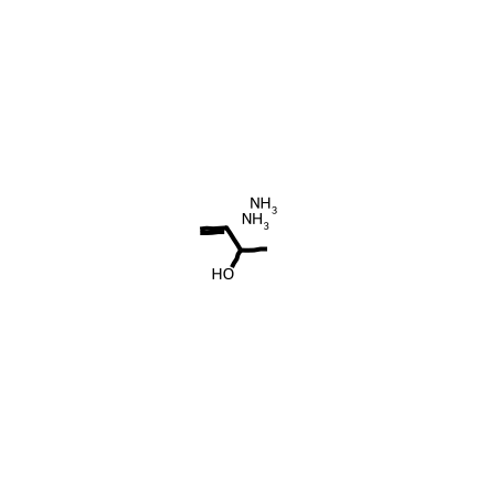 C=CC(C)O.N.N